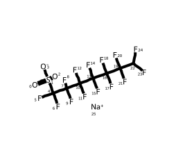 O=S(=O)([O-])C(F)(F)C(F)(F)C(F)(F)C(F)(F)C(F)(F)C(F)(F)C(F)F.[Na+]